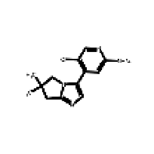 CC(=O)Nc1cc(-c2cnc3n2CC(C)(C)C3)c(Cl)cn1